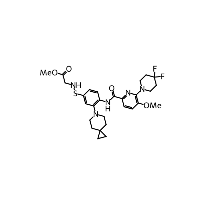 COC(=O)CNSc1ccc(NC(=O)c2ccc(OC)c(N3CCC(F)(F)CC3)n2)c(N2CCC3(CC2)CC3)c1